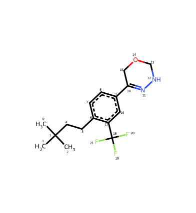 CC(C)(C)CCc1ccc(C2=NNCOC2)cc1C(F)(F)F